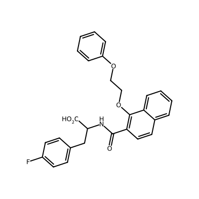 O=C(NC(Cc1ccc(F)cc1)C(=O)O)c1ccc2ccccc2c1OCCOc1ccccc1